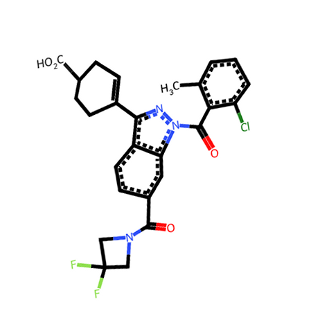 Cc1cccc(Cl)c1C(=O)n1nc(C2=CCC(C(=O)O)CC2)c2ccc(C(=O)N3CC(F)(F)C3)cc21